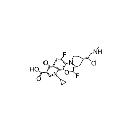 CNCC(Cl)=C1CCN(c2c(F)cc3c(=O)c(C(=O)O)cn(C4CC4)c3c2OC(F)F)CC1